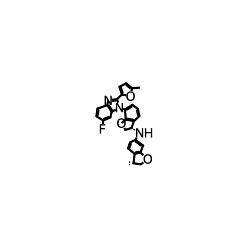 Cc1ccc(-c2nc3ccc(F)cc3n2-c2cccc3c2OC[C@H]3Nc2ccc3c(c2)OC[C]3)o1